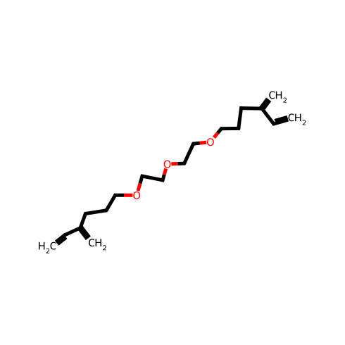 C=CC(=C)CCCOCCOCCOCCCC(=C)C=C